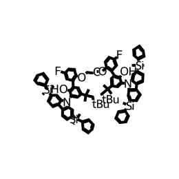 CC(C)(C)CC(C)(C)c1cc(-c2cc(F)ccc2OCCCOc2ccc(F)cc2-c2cc(C(C)(C)CC(C)(C)C)cc(-n3c4cc([Si](C)(C)c5ccccc5)ccc4c4ccc([Si](C)(C)c5ccccc5)cc43)c2O)c(O)c(-n2c3cc([Si](C)(C)c4ccccc4)ccc3c3ccc([Si](C)(C)c4ccccc4)cc32)c1